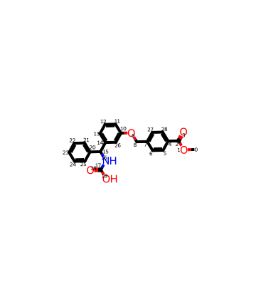 COC(=O)c1ccc(COc2cccc(C(NC(=O)O)c3ccccc3)c2)cc1